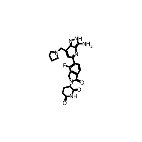 Nc1[nH]nc2c(CN3CCCC3)cc(-c3ccc4c(c3F)CN(C3CCC(=O)NC3=O)C4=O)nc12